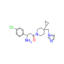 NC(CC(=O)N1CCC(Cn2ccnc2)(C2CC2)CC1)c1ccc(Cl)cc1